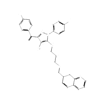 Cc1ccc(C(=O)c2nn(-c3ccc(Cl)cc3)c(NCCCNCC3C=Cc4cccnc4C3)c2N)cc1